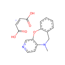 CN1Cc2ccccc2Oc2cnccc21.O=C(O)/C=C\C(=O)O